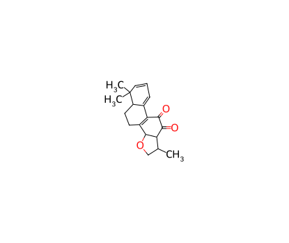 CC1COC2C3=C(C(=O)C(=O)C12)C1=CC=CC(C)(C)C1CC3